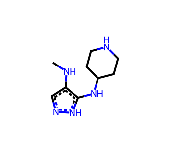 CNc1cn[nH]c1NC1CCNCC1